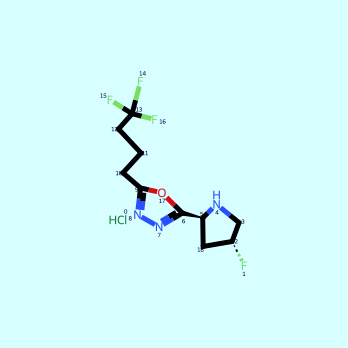 Cl.F[C@H]1CN[C@H](c2nnc(CCCC(F)(F)F)o2)C1